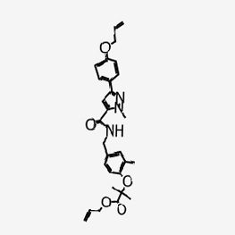 C=CCOC(=O)C(C)(C)Oc1ccc(CNC(=O)c2cc(-c3ccc(OCC=C)cc3)nn2C)cc1C